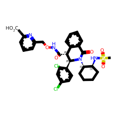 CS(=O)(=O)N[C@H]1CCCC[C@@H]1N1C(=O)c2ccccc2[C@@H](C(=O)NOCc2cccc(C(=O)O)n2)[C@@H]1c1ccc(Cl)cc1Cl